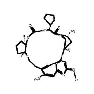 CCOc1cc2c3cc(c(OC)cc3n1)CCC[C@@H]1CCC[C@H]1OC(=O)N[C@@H](C1CCCC1)C(=O)N1C[C@@H](C[C@H]1C=O)O2